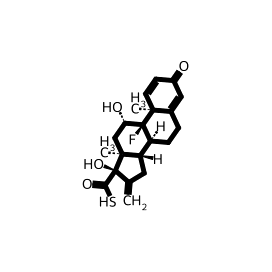 C=C1C[C@H]2[C@@H]3CCC4=CC(=O)C=C[C@]4(C)[C@@]3(F)[C@@H](O)C[C@]2(C)[C@@]1(O)C(=O)S